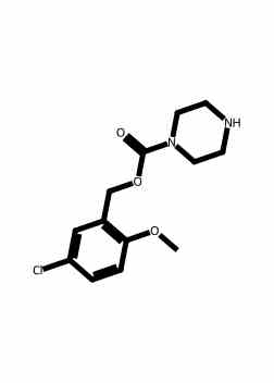 COc1ccc(Cl)cc1COC(=O)N1CCNCC1